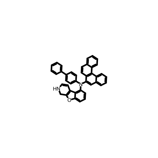 C1=Cc2c(oc3cccc(N(c4ccc(-c5ccccc5)cc4)c4cc5ccccc5c5c4ccc4ccccc45)c23)CN1